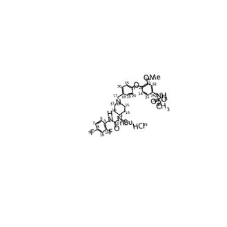 CCCCN(C(=O)Nc1ccc(F)cc1F)C1CCN(Cc2ccc(Oc3ccc(NS(C)(=O)=O)cc3OC)cc2)CC1.Cl